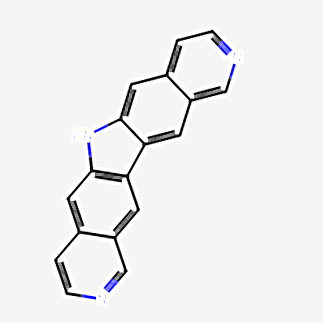 c1cc2cc3[nH]c4cc5ccncc5cc4c3cc2cn1